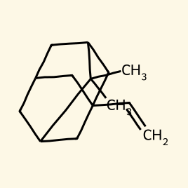 C=CC12CC3CC(C1)C(C)(C)C(C3)C2